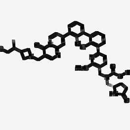 COc1nc(-c2cccc(-c3cccc(-c4ccn5c(=O)c(CN6CC(C(C)CO)C6)cnc5c4)c3Cl)c2Cl)ccc1CN(C[C@@H]1CCC(=O)N1)C(=O)OC(C)(C)C